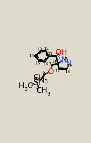 C[Si](C)(C)CCOCC1(C(O)c2ccccc2)C=CN=N1